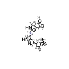 COc1ccc(C(C)NC(=O)/C=C/c2c[nH]c3ncc(-c4cc(F)cc(S(C)(=O)=O)c4)cc23)cc1OC